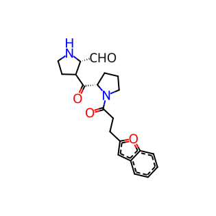 O=C[C@H]1NCCC1C(=O)[C@@H]1CCCN1C(=O)CCc1cc2ccccc2o1